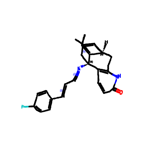 C/C=C1\[C@H]2C=C(C)C[C@]1(/N=C/C=C/c1ccc(F)cc1)c1ccc(=O)[nH]c1C2